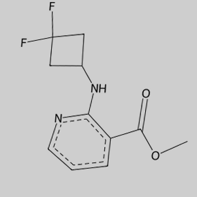 COC(=O)c1cccnc1NC1CC(F)(F)C1